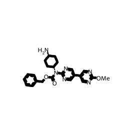 COc1ncc(-c2cnc(N(C(=O)OCc3ccccc3)[C@H]3CC[C@H](N)CC3)nc2)cn1